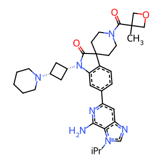 CC(C)n1cnc2cc(-c3ccc4c(c3)N([C@H]3C[C@@H](N5CCCCC5)C3)C(=O)C43CCN(C(=O)C4(C)COC4)CC3)nc(N)c21